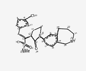 CNS(=O)(=O)/C(=C/c1ccc(Cl)s1)[C@H]1CCN(c2ccc3c(c2)CCCNC3)C1=O